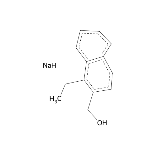 CCc1c(CO)ccc2ccccc12.[NaH]